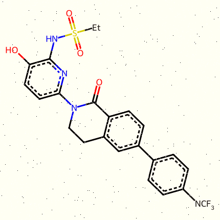 CCS(=O)(=O)Nc1nc(N2CCc3cc(-c4ccc(NC(F)(F)F)cc4)ccc3C2=O)ccc1O